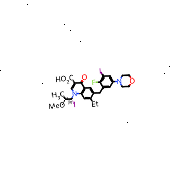 CCc1cc2c(cc1Cc1cc(N3CCOCC3)cc(I)c1F)c(=O)c(C(=O)O)cn2[C@H](I)[C@H](C)OC